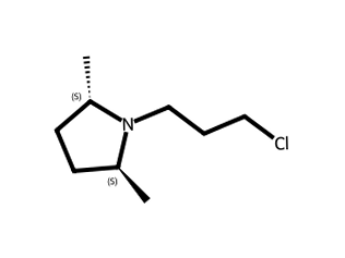 C[C@H]1CC[C@H](C)N1CCCCl